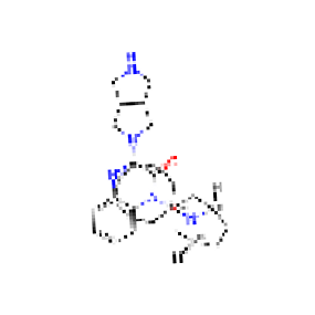 O=c1c(N2CC3CNCC3C2)nc2ccccc2n1[C@H]1C[C@H]2CC[C@@H](C1)N2C1CCCCCCC1